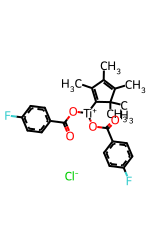 CC1=C(C)C(C)(C)[C]([Ti+]([O]C(=O)c2ccc(F)cc2)[O]C(=O)c2ccc(F)cc2)=C1C.[Cl-]